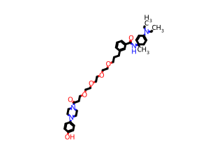 CCN(CC)C1=CCC(C)(NC(=O)c2cccc(CCCOCCOCCOCCOCCC(=O)N3CCN(c4ccc(O)cc4)CC3)c2)C=C1